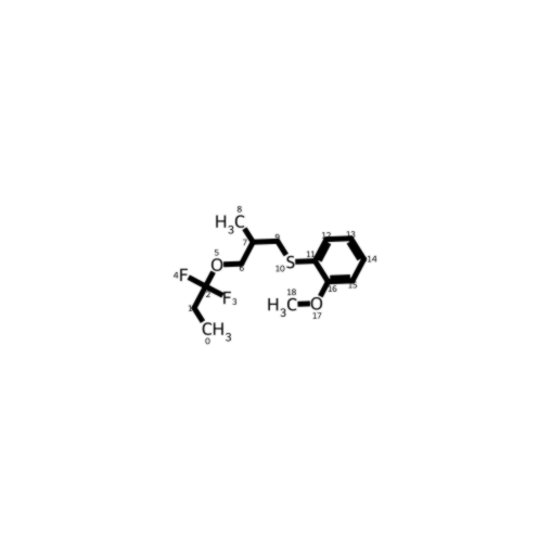 CCC(F)(F)OCC(C)CSc1ccccc1OC